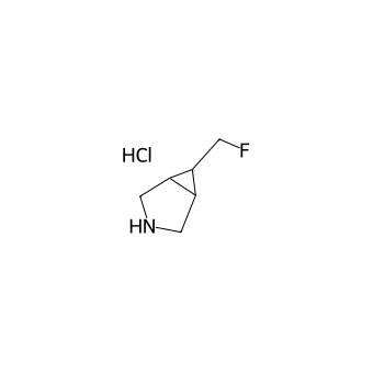 Cl.FCC1C2CNCC12